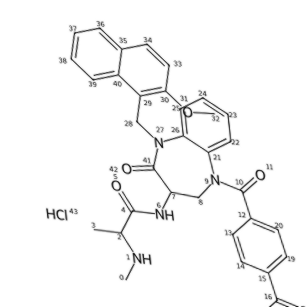 CNC(C)C(=O)NC1CN(C(=O)c2ccc(C(C)=O)cc2)c2ccccc2N(Cc2c(OC)ccc3ccccc23)C1=O.Cl